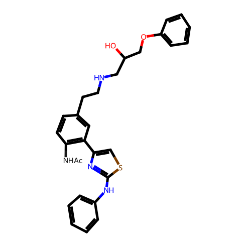 CC(=O)Nc1ccc(CCNCC(O)COc2ccccc2)cc1-c1csc(Nc2ccccc2)n1